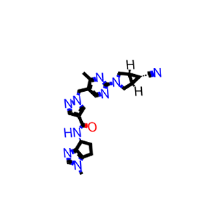 Cc1nc(N2C[C@@H]3[C@H](C#N)[C@@H]3C2)ncc1Cn1cc(C(=O)N[C@@H]2CCc3c2ncn3C)cn1